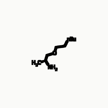 CCCCCCOC[C@H](C)N